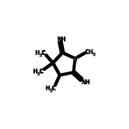 CC1C(=N)N(C)C(=N)C1(C)C